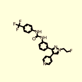 O=C(Nc1ccc(C(F)(F)F)cc1)Nc1cccc(-c2nn(CCF)cc2-c2ccncc2)c1